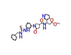 CCOC(=O)CC(NC(=O)C1CC(=O)N(c2cccc(NC(=S)NCc3ccccc3)c2)C1)c1cccnc1